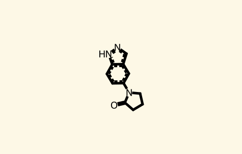 O=C1CCCN1c1ccc2[nH]ncc2c1